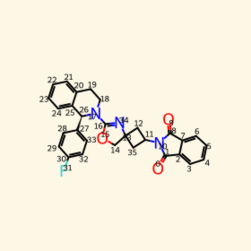 O=C1c2ccccc2C(=O)N1C1CC2(COC(N3CCc4ccccc4[C@@H]3c3ccc(F)cc3)=N2)C1